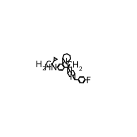 C=C(Nc1ccc(C(=C)N2CCN(Cc3ccc(F)cc3)CC2)c(N2CCCCCC2)c1)C1CC1